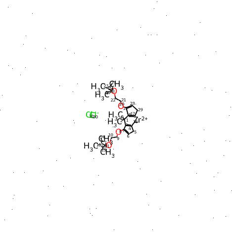 CC1(C)C2=[C](CC=C2OCCO[Si](C)(C)C)[Zr+2][C]2=C1C(OCCO[Si](C)(C)C)=CC2.[Cl-].[Cl-]